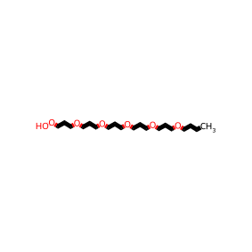 CCCCOCCCOCCCOCCCOCCCOCCCOO